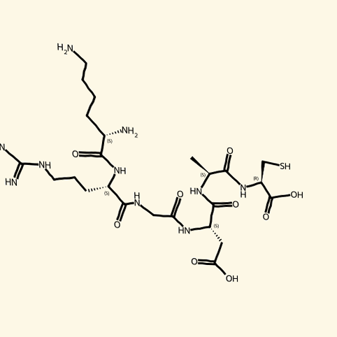 C[C@H](NC(=O)[C@H](CC(=O)O)NC(=O)CNC(=O)[C@H](CCCNC(=N)N)NC(=O)[C@@H](N)CCCCN)C(=O)N[C@@H](CS)C(=O)O